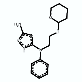 Nc1n[nH]c(N(CCOC2CCCCO2)c2ccccc2)n1